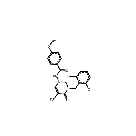 CC(C)Oc1ccc(C(=O)NN2C=C(C(F)(F)F)C(=O)N(Cc3c(Cl)cccc3Cl)C2)cc1